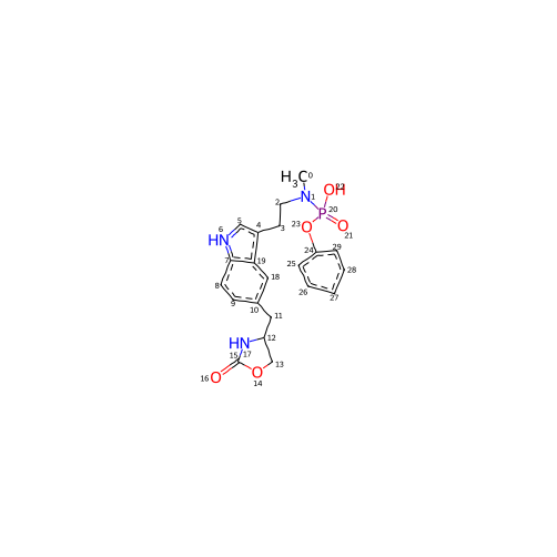 CN(CCc1c[nH]c2ccc(CC3COC(=O)N3)cc12)P(=O)(O)Oc1ccccc1